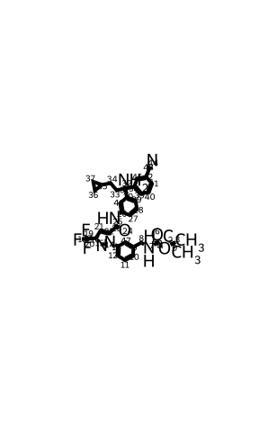 CC(C)(C)OC(=O)NCc1cccc(-n2nc(C(F)(F)F)cc2C(=O)Nc2cccc(C(N)(CCC3CC3)c3cccc(C#N)c3)c2)c1